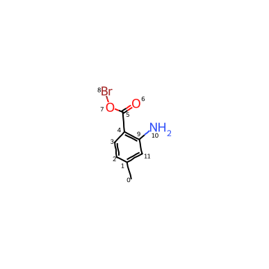 Cc1ccc(C(=O)OBr)c(N)c1